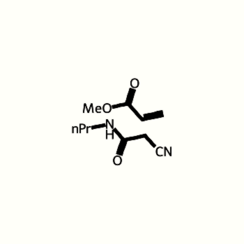 C=CC(=O)OC.CCCNC(=O)CC#N